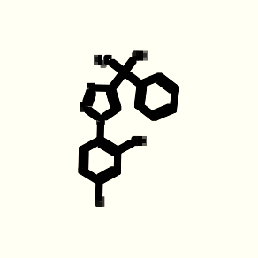 CC(O)(c1ccccc1)c1cn(-c2ccc(Cl)cc2O)nn1